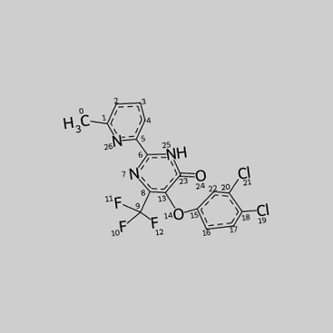 Cc1cccc(-c2nc(C(F)(F)F)c(Oc3ccc(Cl)c(Cl)c3)c(=O)[nH]2)n1